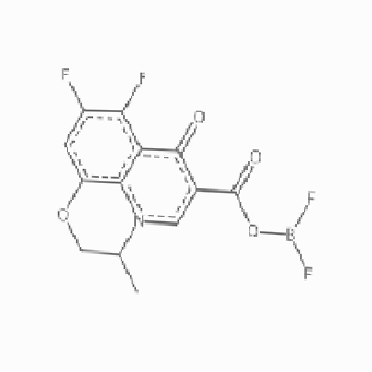 CC1COc2cc(F)c(F)c3c(=O)c(C(=O)OB(F)F)cn1c23